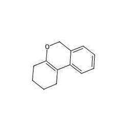 c1ccc2c(c1)COC1=C2CCCC1